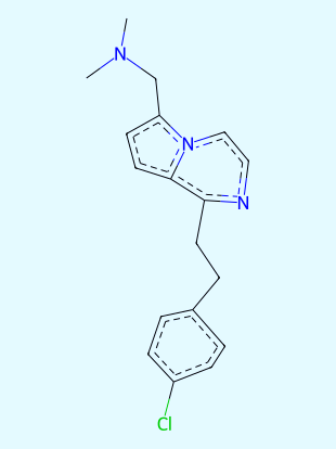 CN(C)Cc1ccc2c(CCc3ccc(Cl)cc3)nccn12